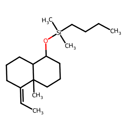 C/C=C1/CCCC2C(O[Si](C)(C)CCCC)CCCC12C